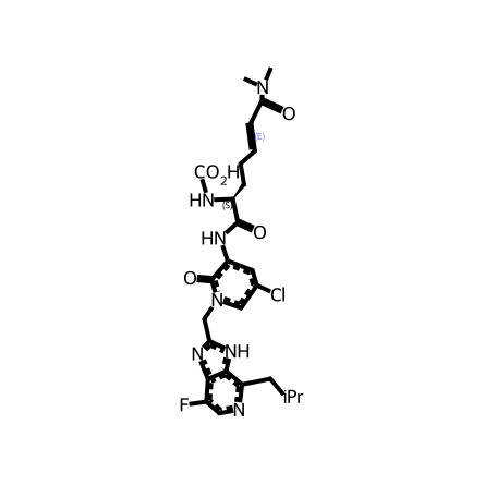 CC(C)Cc1ncc(F)c2nc(Cn3cc(Cl)cc(NC(=O)[C@H](CC/C=C/C(=O)N(C)C)NC(=O)O)c3=O)[nH]c12